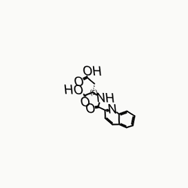 O=C(O)C[C@H](NC(=O)c1ccc2ccccc2n1)C(=O)O